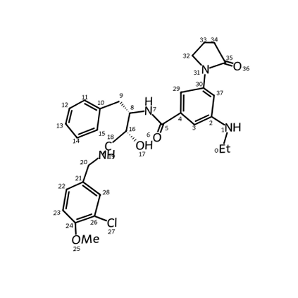 CCNc1cc(C(=O)N[C@@H](Cc2ccccc2)[C@H](O)CNCc2ccc(OC)c(Cl)c2)cc(N2CCCC2=O)c1